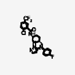 O=C(N[C@H]1CC[C@@H](CN(c2ccc(F)cc2)c2ccn[nH]2)CC1)c1cc(C(F)(F)F)ccc1Cl